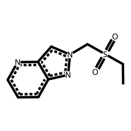 CCS(=O)(=O)Cn1cc2ncccc2n1